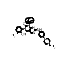 Cc1cccc(N2Cc3cnc(Nc4ccc(N5CCN(C)CC5)cc4)nc3N(C34CC5CC(CC(C5)C3)C4)C2=O)c1C#N